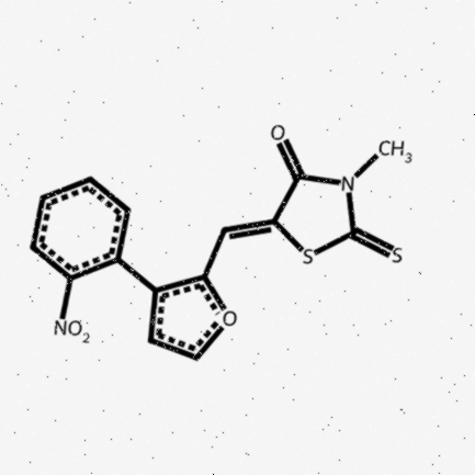 CN1C(=O)C(=Cc2occc2-c2ccccc2[N+](=O)[O-])SC1=S